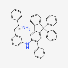 N[C@H](Cc1cccc(Nc2cc3c(cc2-c2ccccc2)C(c2ccccc2)(c2ccccc2)c2ccccc2-3)c1)c1ccccc1